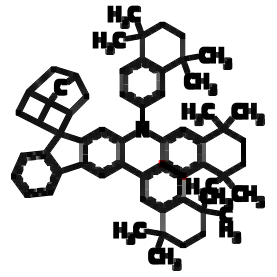 CC1(C)CCC(C)(C)c2cc(-c3cc4c(cc3N(c3ccc5c(c3)C(C)(C)CCC5(C)C)c3ccc5c(c3)C(C)(C)CCC5(C)C)C3(c5ccccc5-4)C4CC5CC6CC3C64C5)ccc21